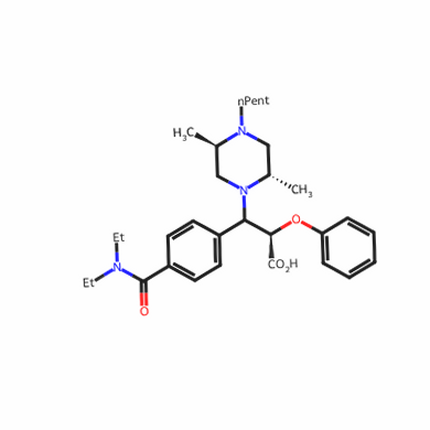 CCCCCN1C[C@H](C)N(C(c2ccc(C(=O)N(CC)CC)cc2)[C@@H](Oc2ccccc2)C(=O)O)C[C@H]1C